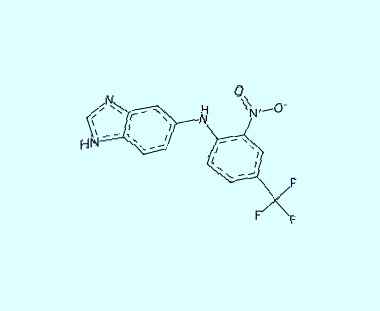 O=[N+]([O-])c1cc(C(F)(F)F)ccc1Nc1ccc2[nH]cnc2c1